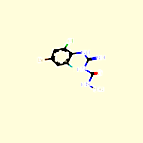 CC(C)(C)NC(=O)NC(=N)Nc1c(F)cc(Br)cc1Cl